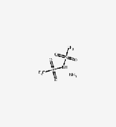 N.O=S(=O)(NS(=O)(=O)C(F)(F)F)C(F)(F)F